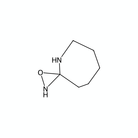 C1CCNC2(CC1)NO2